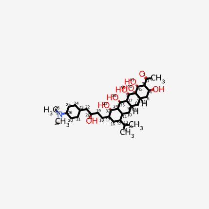 CC(=O)C1C(O)C[C@@H]2C[C@@H]3CC4C(C(C)C)CC(CCC(O)CC5CCC(N(C)C)CC5)C(O)C4C(O)C3C(O)[C@]2(O)C1O